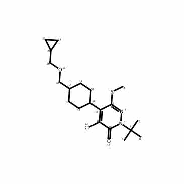 CSc1nn(C(C)(C)C)c(=O)c(Cl)c1C1CCC(COCC2CC2)CC1